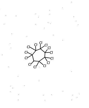 Cl[C]1C(Cl)(Cl)C(Cl)(Cl)C(Cl)(Cl)C(Cl)(Cl)C(Cl)(Cl)C1(Cl)Cl